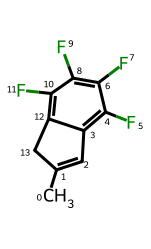 CC1=Cc2c(F)c(F)c(F)c(F)c2C1